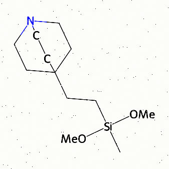 CO[Si](C)(CCC12CCN(CC1)CC2)OC